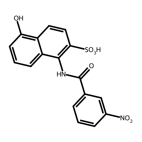 O=C(Nc1c(S(=O)(=O)O)ccc2c(O)cccc12)c1cccc([N+](=O)[O-])c1